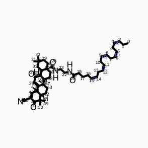 CC/C=C\C/C=C\C/C=C\C/C=C\C/C=C\CCCC(=O)NCCNC(=O)[C@]12CCC(C)(C)CC1[C@H]1C(=O)C=C3[C@@]4(C)C=C(C#N)C(=O)C(C)(C)[C@@H]4CC[C@@]3(C)[C@]1(C)CC2